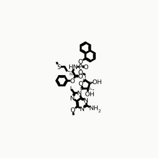 COc1nc(N)nc2c1nc(I)n2[C@@H]1O[C@H](COP(=O)(N[C@@H](CCSC)C(=O)Oc2ccccc2)Oc2cccc3ccccc23)[C@@H](O)[C@@]1(C)O